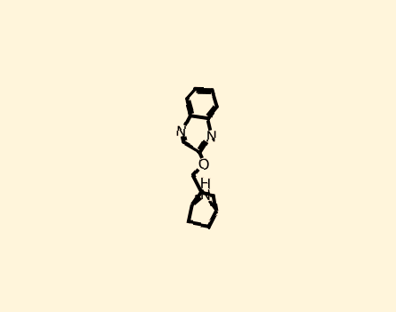 c1ccc2nc(OCC3CC4CCC3N4)cnc2c1